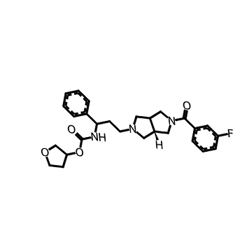 O=C(NC(CCN1CC2CN(C(=O)c3cccc(F)c3)C[C@@H]2C1)c1ccccc1)OC1CCOC1